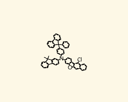 CC1(C)c2ccccc2-c2ccc(N(c3ccc(C4(c5ccccc5)c5ccccc5-c5ccccc54)cc3)c3ccc4c(c3)oc3cc5ccccc5c(Cl)c34)cc21